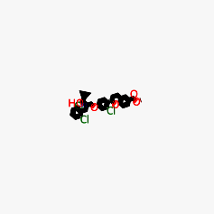 COC(=O)c1ccc2c(c1)CC[C@H](c1ccc(OC/C(Cc3c(Cl)cccc3Cl)=C(/O)C3CC3)cc1Cl)O2